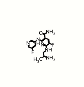 CC(N)CNc1nc(Nc2cncc(F)c2)c(C(N)=O)cc1F